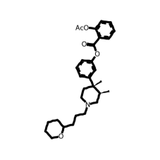 CC(=O)Oc1ccccc1C(=O)Oc1cccc([C@@]2(C)CCN(CCCC3CCCCO3)C[C@@H]2C)c1